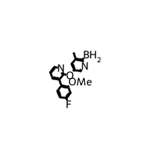 Bc1ncc(Oc2ncccc2-c2ccc(F)cc2OC)cc1C